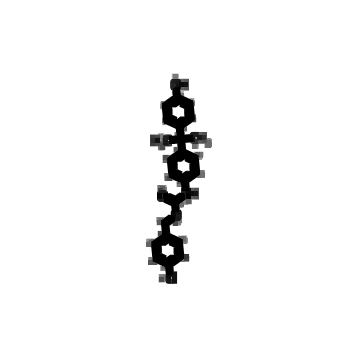 CC(C)(c1ccc(O)cc1)c1ccc(NC(=O)OCc2ccc(Cl)cc2)cc1